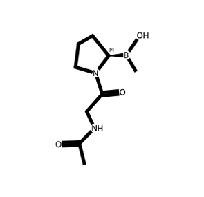 CB(O)[C@@H]1CCCN1C(=O)CNC(C)=O